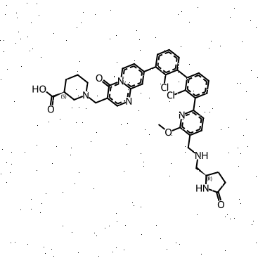 COc1nc(-c2cccc(-c3cccc(-c4ccn5c(=O)c(CN6CCC[C@H](C(=O)O)C6)cnc5c4)c3Cl)c2Cl)ccc1CNC[C@H]1CCC(=O)N1